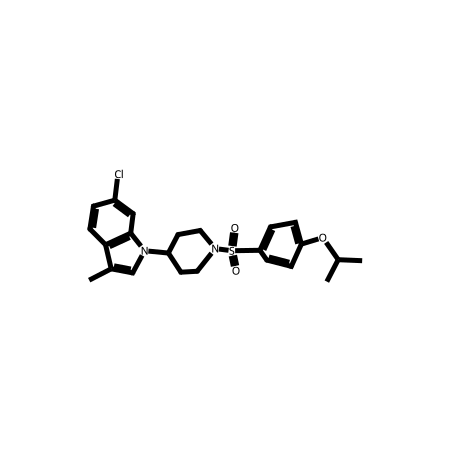 Cc1cn(C2CCN(S(=O)(=O)c3ccc(OC(C)C)cc3)CC2)c2cc(Cl)ccc12